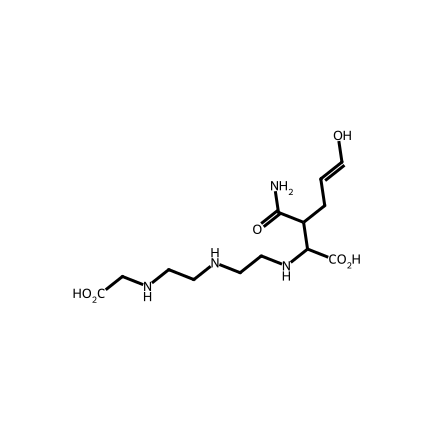 NC(=O)C(CC=CO)C(NCCNCCNCC(=O)O)C(=O)O